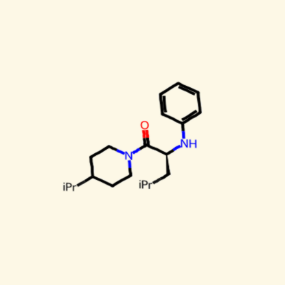 CC(C)C[C@H](Nc1ccccc1)C(=O)N1CCC(C(C)C)CC1